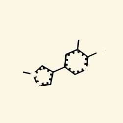 COc1ncc(-c2cnn(C)c2)cc1F